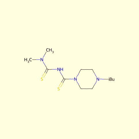 CCC(C)N1CCN(C(=S)NC(=S)N(C)C)CC1